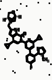 Cn1ccnc1-c1cc(F)ccc1-c1cc(C2CC2)nc(-n2cc(C3CC3)c3cc(CN4C[C@H]5C[C@@H]4CO5)[nH]c3c2=O)c1